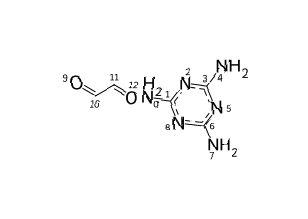 Nc1nc(N)nc(N)n1.O=CC=O